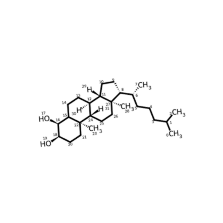 CC(C)CCC[C@@H](C)[C@H]1CC[C@H]2[C@@H]3CCC4[C@H](O)[C@H](O)CC[C@]4(C)[C@H]3CC[C@]12C